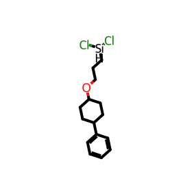 Cl[SiH](Cl)CCCOC1CCC(c2ccccc2)CC1